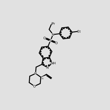 C=C[C@H]1COCCN1Cc1n[nH]c2cc(S(=O)(=O)N(CC(C)C)c3ccc(CC)cc3)ccc12